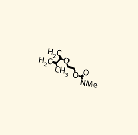 C=C(C)C(=C)OCCOC(=O)NC